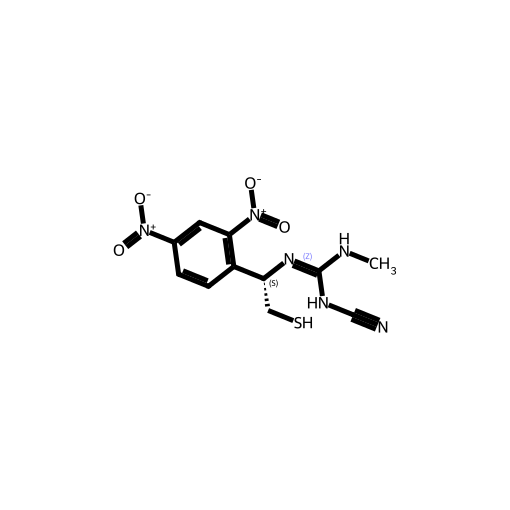 CN/C(=N/[C@H](CS)c1ccc([N+](=O)[O-])cc1[N+](=O)[O-])NC#N